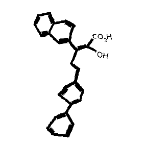 O=C(O)/C(O)=C(/CCc1ccc(-c2ccccc2)cc1)c1ccc2ccccc2c1